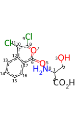 NC(CO)C(=O)O.O=c1oc(Cl)c(Cl)c2ccccc12